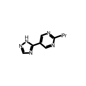 CC(C)c1ncc(-c2ncn[nH]2)cn1